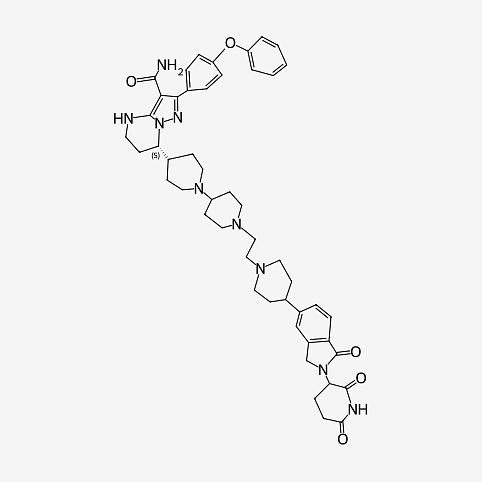 NC(=O)c1c(-c2ccc(Oc3ccccc3)cc2)nn2c1NCC[C@H]2C1CCN(C2CCN(CCN3CCC(c4ccc5c(c4)CN(C4CCC(=O)NC4=O)C5=O)CC3)CC2)CC1